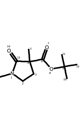 CN1CCC(C)(C(=O)OC(C)(C)C)C1=O